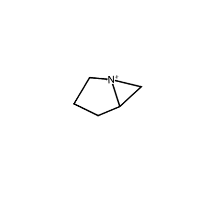 C1CC2C[N+]2C1